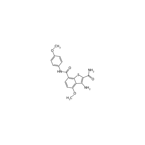 COc1ccc(NC(=O)c2ccc(OC)c3c(N)c(C(N)=O)sc23)cc1